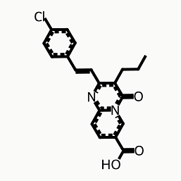 CCCc1c(C=Cc2ccc(Cl)cc2)nc2ccc(C(=O)O)cn2c1=O